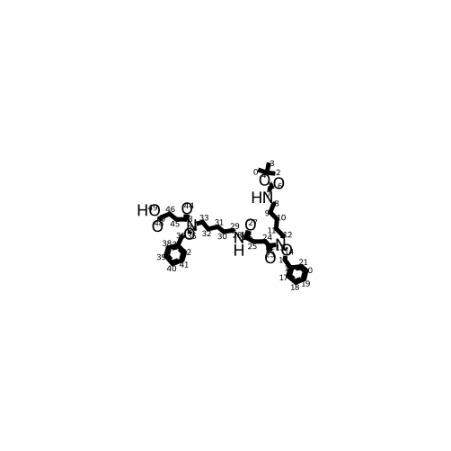 CC(C)(C)OC(=O)NCCCCCN(OCc1ccccc1)C(=O)CCC(=O)NCCCCCN(OCc1ccccc1)C(=O)CCC(=O)O